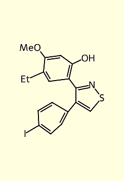 CCc1cc(-c2nscc2-c2ccc(I)cc2)c(O)cc1OC